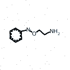 NCCO[N]c1ccccc1